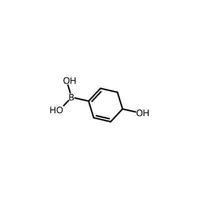 OB(O)C1=CCC(O)C=C1